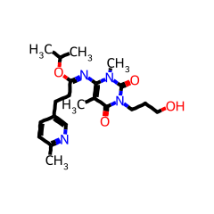 Cc1ccc(CC/C(=N\c2c(C)c(=O)n(CCCO)c(=O)n2C)OC(C)C)cn1